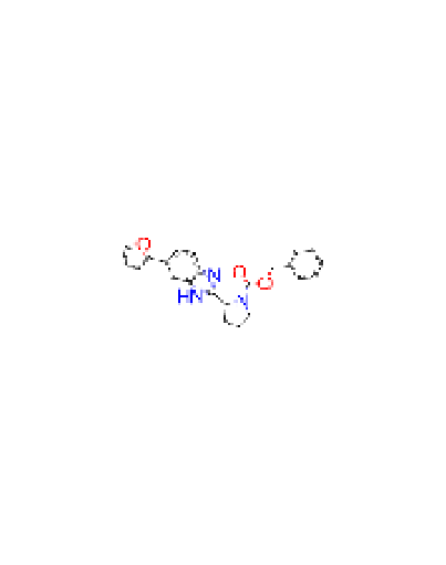 O=C(OCc1ccccc1)N1CCCC1c1nc2ccc(-c3ccco3)cc2[nH]1